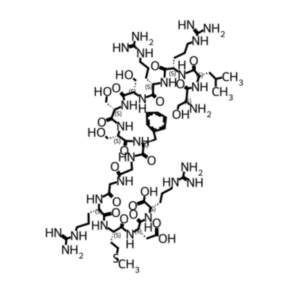 CSCC[C@H](NC(=O)[C@H](CCCNC(=N)N)NC(=O)CNC(=O)CNC(=O)[C@H](Cc1ccccc1)NC(=O)[C@H](CO)NC(=O)[C@H](CO)NC(=O)[C@H](CO)NC(=O)[C@H](CCCNC(=N)N)NC(=O)[C@H](CCCNC(=N)N)NC(=O)[C@H](CC(C)C)NC(=O)[C@@H](N)CO)C(=O)N[C@@H](CC(=O)O)C(=O)N[C@@H](CCCNC(=N)N)C(=O)O